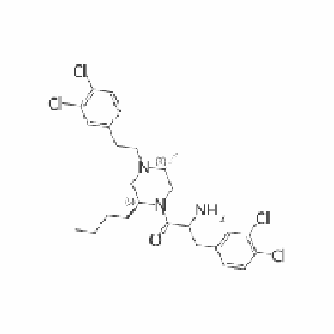 CCCC[C@H]1CN(CCc2ccc(Cl)c(Cl)c2)[C@H](C)CN1C(=O)C(N)Cc1ccc(Cl)c(Cl)c1